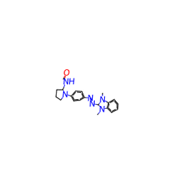 CN1c2ccccc2N(C)C1N=Nc1ccc(N2CCCC2NC=O)cc1